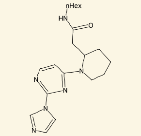 CCCCCCNC(=O)CC1CCCCN1c1ccnc(-n2ccnc2)n1